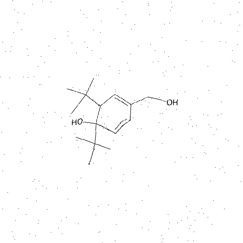 CC(C)(C)C1C=C(CO)C=CC1(O)C(C)(C)C